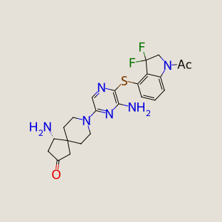 CC(=O)N1CC(F)(F)c2c(Sc3ncc(N4CCC5(CC4)CC(=O)C[C@@H]5N)nc3N)cccc21